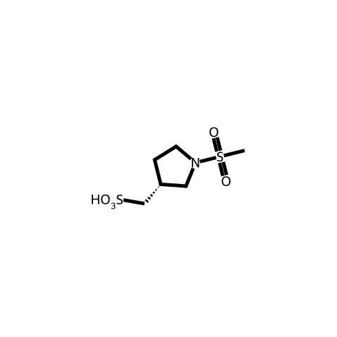 CS(=O)(=O)N1CC[C@@H](CS(=O)(=O)O)C1